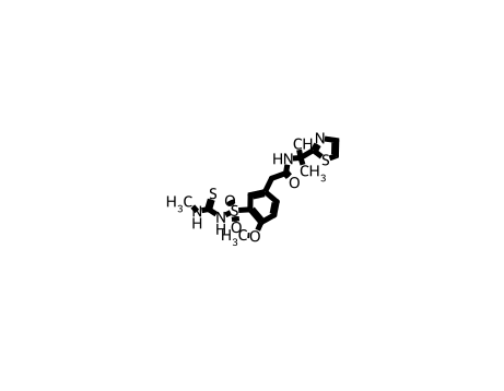 CNC(=S)NS(=O)(=O)c1cc(CC(=O)NC(C)(C)c2nccs2)ccc1OC